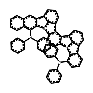 c1ccc(N(c2ccccc2)c2cccc3c4cccc5c6c7c8cccc9c%10cc%11ccccc%11c(N(c%11ccccc%11)c%11ccccc%11)c%10n(c7ncc6n(c23)c45)c98)cc1